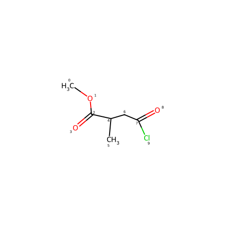 COC(=O)C(C)CC(=O)Cl